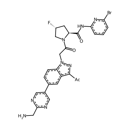 CC(=O)c1nn(CC(=O)N2C[C@H](F)C[C@H]2C(=O)Nc2cccc(Br)n2)c2ccc(-c3cnc(CN)nc3)cc12